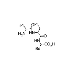 CC[C@H](C)[C@H](NC(=O)[C@H](CC(C)C)NC(=O)[C@@H](N)C(C)C)C(=O)O